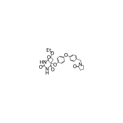 CCOCCC1(Oc2ccc(Oc3ccc(CN4CCCC4=O)cc3)cc2)C(=O)NC(=O)NC1=O